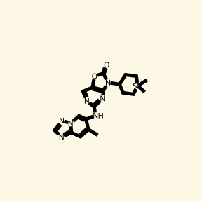 Cc1cc2ncnn2cc1Nc1ncc2oc(=O)n(C3CC[Si](C)(C)CC3)c2n1